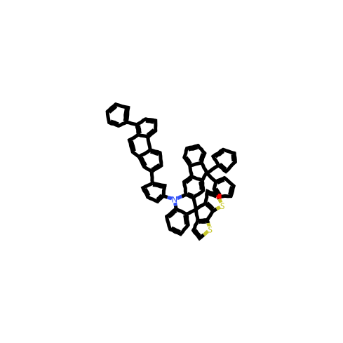 c1ccc(-c2cccc3c2ccc2cc(-c4cccc(N5c6ccccc6C6(c7cc8c(cc75)-c5ccccc5C8(c5ccccc5)c5ccccc5)c5ccsc5-c5sccc56)c4)ccc23)cc1